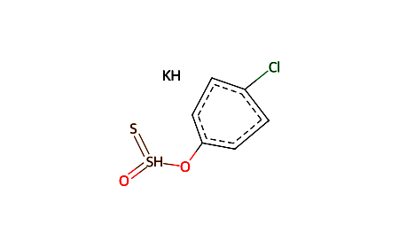 O=[SH](=S)Oc1ccc(Cl)cc1.[KH]